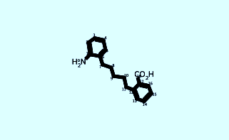 Nc1ccccc1CCCCCc1ccccc1C(=O)O